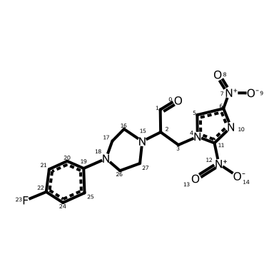 O=CC(Cn1cc([N+](=O)[O-])nc1[N+](=O)[O-])N1CCN(c2ccc(F)cc2)CC1